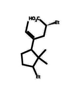 CC=C(C[C@@H](CC)C(=O)O)C1CCC(CC)C1(C)C